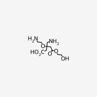 NCCOC(CN)(CC(=O)O)CC(=O)OCCO